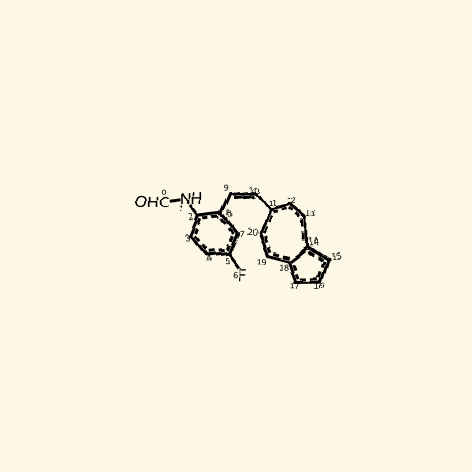 O=CNc1ccc(F)cc1/C=C\c1ccc2cccc-2cc1